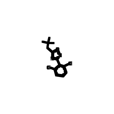 CC(C)(C)Cc1nc(-c2c(Cl)cccc2Cl)no1